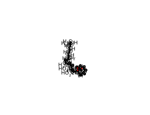 CC(C)C[C@H](NC(=O)CNC(=O)CNC(=O)CNC(=O)CNC(=O)[C@@H](N)[C@@H](C)O)C(=O)N1CCC[C@H]1C(=O)N[C@@H](C)C(=O)N1CCC[C@H]1C(=O)N1CCC[C@H]1C(=O)N[C@@H](CC(=O)O)C(=O)N[C@@H](CC(=O)O)C(=O)N[C@@H](Cc1ccccc1)C(=O)N[C@@H](CC(C)C)C(=O)N1CCC[C@H]1C(=O)N1CCC[C@H]1C(=O)N1CCC[C@H]1C(=O)N1CCC[C@H]1C(=O)N1CCC[C@H]1C(=O)N1CCC[C@H]1C(=O)O